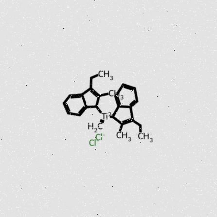 [CH2]=[Ti+2]([CH]1C(C)=C(CC)c2ccccc21)[CH]1C(C)=C(CC)c2ccccc21.[Cl-].[Cl-]